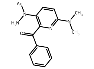 CC(=O)N(N)c1ccc(N(C)C)nc1C(=O)c1ccccc1